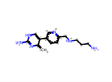 C=C1N=C(N)NC=C1c1ccc(CNCCCN)nc1